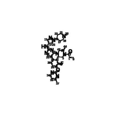 C=CC(=O)N1CCN(c2nc(Nc3cnn(C4CCN(C)CC4)c3)ncc2-c2ccc(Oc3nccc(C)n3)c(F)c2)C[C@H]1C